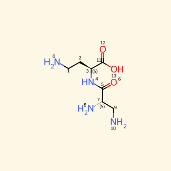 NCC[C@H](NC(=O)[C@@H](N)CN)C(=O)O